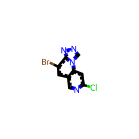 Clc1cc2c(cn1)cc(Br)c1nncn12